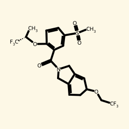 C[C@H](Oc1ccc(S(C)(=O)=O)cc1C(=O)N1CC2=CCC(OCC(F)(F)F)C=C2C1)C(F)(F)F